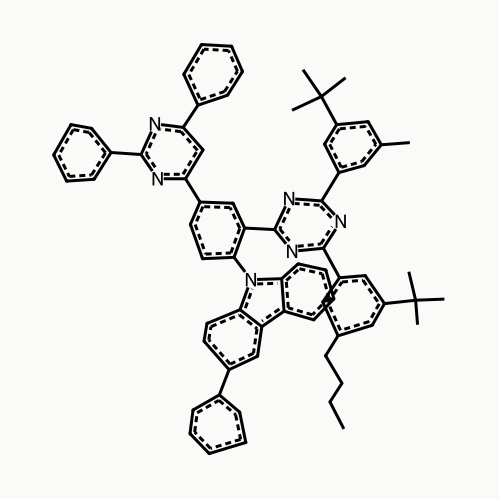 CCCCc1cc(-c2nc(-c3cc(C)cc(C(C)(C)C)c3)nc(-c3cc(-c4cc(-c5ccccc5)nc(-c5ccccc5)n4)ccc3-n3c4ccccc4c4cc(-c5ccccc5)ccc43)n2)cc(C(C)(C)C)c1